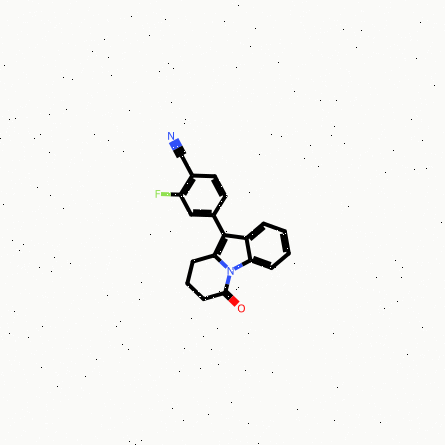 N#Cc1ccc(-c2c3n(c4ccccc24)C(=O)CCC3)cc1F